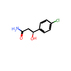 NC(=O)C[C@H](O)c1ccc(Cl)cc1